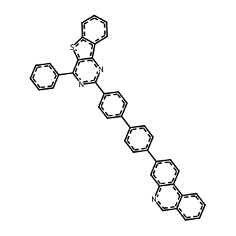 c1ccc(-c2nc(-c3ccc(-c4ccc(-c5ccc6c(c5)ncc5ccccc56)cc4)cc3)nc3c2sc2ccccc23)cc1